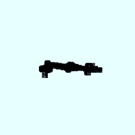 COc1c(Cl)cc(C(C)(C)c2ccc(OCc3ccnc(NS(=O)(=O)N4CCN(C5CCN(C6CN(c7ccc8c(c7)C(=O)N(C7CCC(=O)NC7=O)C8=O)C6)CC5)CC4)n3)cc2)cc1C#N